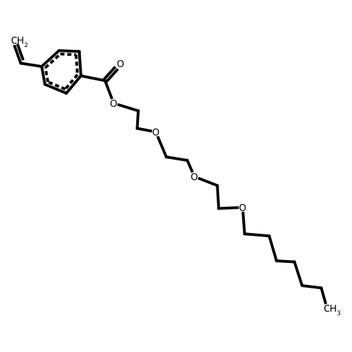 C=Cc1ccc(C(=O)OCCOCCOCCOCCCCCCC)cc1